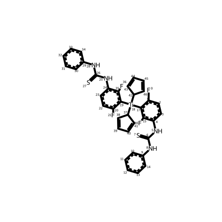 Fc1ccc(NC(=S)Nc2ccccc2)c(F)[c]1[Ti]([c]1c(F)ccc(NC(=S)Nc2ccccc2)c1F)([CH]1C=CC=C1)[CH]1C=CC=C1